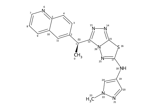 C[C@@H](c1ccc2ncccc2c1)c1nnc2sc(Nc3cnn(C)c3)nn12